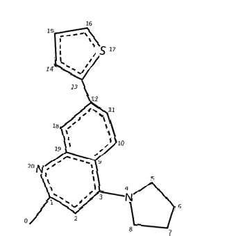 Cc1cc(N2CCCC2)c2ccc(-c3cccs3)cc2n1